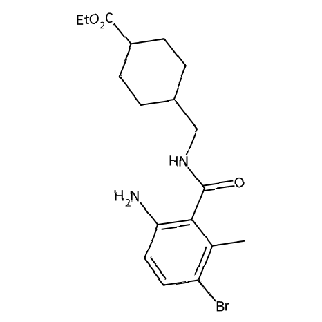 CCOC(=O)C1CCC(CNC(=O)c2c(N)ccc(Br)c2C)CC1